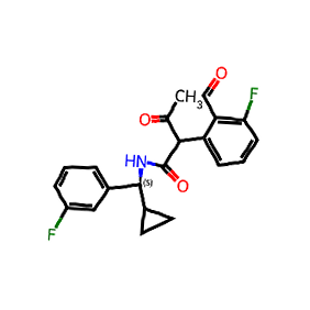 CC(=O)C(C(=O)N[C@H](c1cccc(F)c1)C1CC1)c1cccc(F)c1C=O